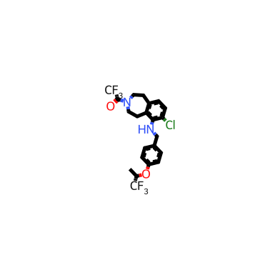 CC(Oc1ccc(CNc2c(Cl)ccc3c2CCN(C(=O)C(F)(F)F)CC3)cc1)C(F)(F)F